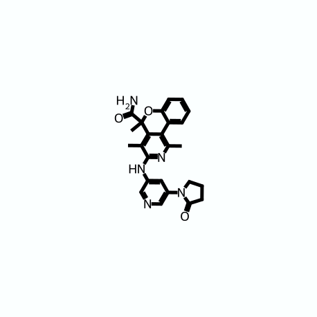 Cc1nc(Nc2cncc(N3CCCC3=O)c2)c(C)c2c1-c1ccccc1OC2(C)C(N)=O